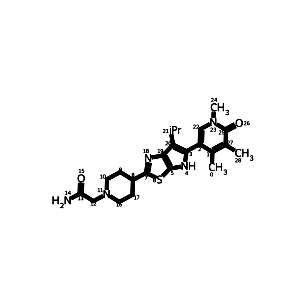 Cc1c(-c2[nH]c3sc(C4CCN(CC(N)=O)CC4)nc3c2C(C)C)cn(C)c(=O)c1C